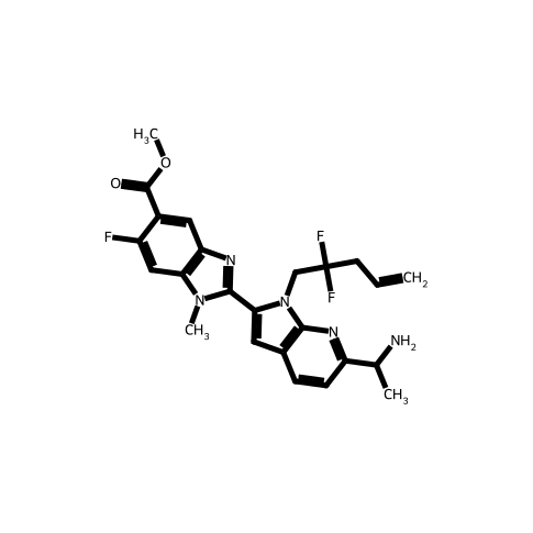 C=CCC(F)(F)Cn1c(-c2nc3cc(C(=O)OC)c(F)cc3n2C)cc2ccc(C(C)N)nc21